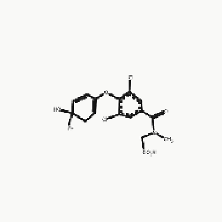 CC(C)C1(O)C=CC(Oc2c(Cl)cc(C(=O)N(C)CC(=O)O)cc2Cl)=CC1